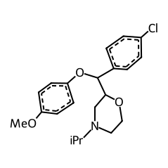 COc1ccc(OC(c2ccc(Cl)cc2)C2CN(C(C)C)CCO2)cc1